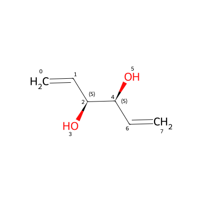 C=C[C@H](O)[C@@H](O)C=C